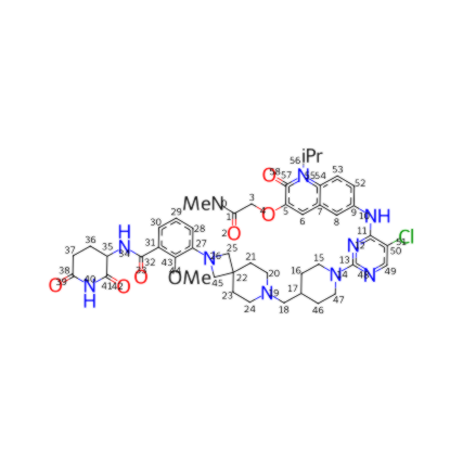 CNC(=O)COc1cc2cc(Nc3nc(N4CCC(CN5CCC6(CC5)CN(c5cccc(C(=O)NC7CCC(=O)NC7=O)c5OC)C6)CC4)ncc3Cl)ccc2n(C(C)C)c1=O